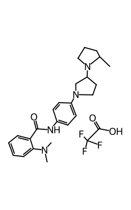 CC1CCCN1C1CCN(c2ccc(NC(=O)c3ccccc3N(C)C)cc2)C1.O=C(O)C(F)(F)F